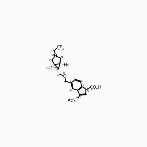 CC(=O)Nc1cn(C(=O)O)c2ccc(COC[C@@H]3[C@H]4CN(CC(F)(F)F)C[C@@H]34)cc12